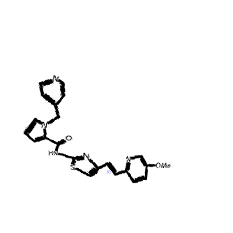 COc1ccc(/C=C/c2csc(NC(=O)c3cccn3Cc3ccncc3)n2)nc1